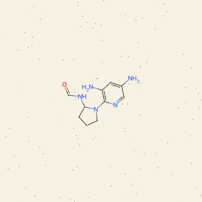 Nc1cnc(N2CCCC2NC=O)c(N)c1